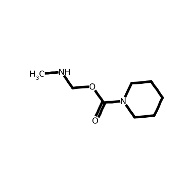 CNCOC(=O)N1CCCCC1